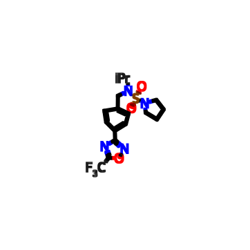 CC(C)N(Cc1ccc(-c2noc(C(F)(F)F)n2)cc1)S(=O)(=O)N1CCCC1